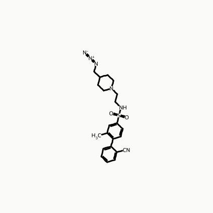 Cc1cc(S(=O)(=O)NCCN2CCC(CN=[N+]=[N-])CC2)ccc1-c1ccccc1C#N